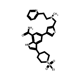 CCS(=O)(=O)N1CCC(c2c[nH]c3c(C(N)=O)cc(-c4csc(CN(C)CCc5ccccn5)c4)cc23)CC1